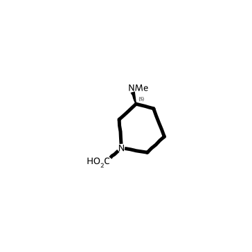 CN[C@H]1CCCN(C(=O)O)C1